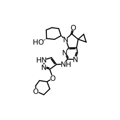 O=C1N([C@@H]2CCC[C@@H](O)C2)c2nc(Nc3c[nH]nc3OC3CCOCC3)ncc2C12CC2